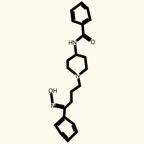 O=C(NC1CCN(CCCC(=NO)c2ccccc2)CC1)c1ccccc1